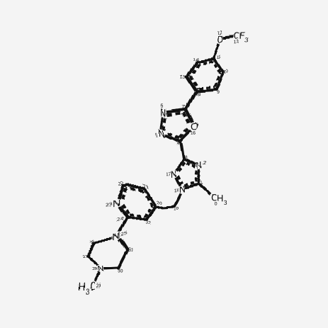 Cc1nc(-c2nnc(-c3ccc(OC(F)(F)F)cc3)o2)nn1Cc1ccnc(N2CCN(C)CC2)c1